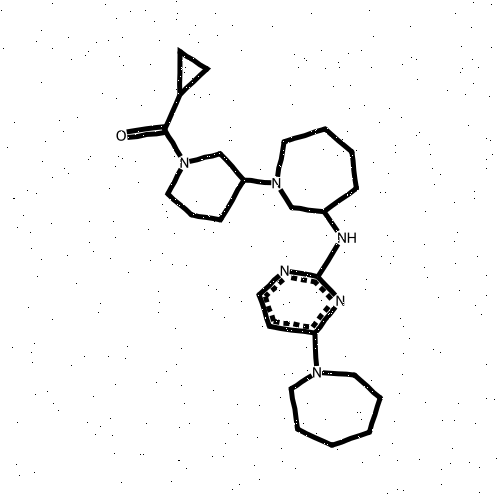 O=C(C1CC1)N1CCCC(N2CCCCC(Nc3nccc(N4CCCCCC4)n3)C2)C1